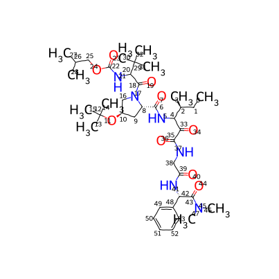 CC[C@H](C)C(NC(=O)[C@@H]1C[C@@H](OC(C)(C)C)CN1C(=O)C(NC(=O)OCC(C)C)C(C)(C)C)C(=O)C(=O)NCC(=O)N[C@H](C(=O)N(C)C)c1ccccc1